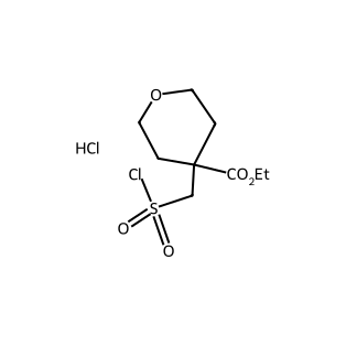 CCOC(=O)C1(CS(=O)(=O)Cl)CCOCC1.Cl